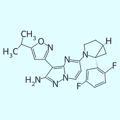 CC(C)c1cc(-c2c(N)nn3ccc(N4CC[C@H]5C[C@]54c4cc(F)ccc4F)nc23)no1